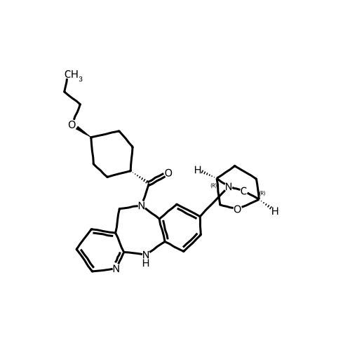 CCCO[C@H]1CC[C@H](C(=O)N2Cc3cccnc3Nc3ccc(N4C[C@H]5CC[C@@H]4CO5)cc32)CC1